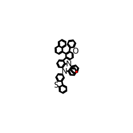 c1ccc(N(c2ccc3sc4ccccc4c3c2)c2cccc3c4c(-c5cccc6ccccc56)c5c(cc4n(-c4ccccc4)c23)oc2ccccc25)cc1